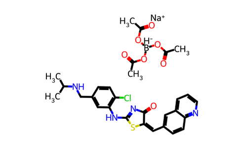 CC(=O)O[BH-](OC(C)=O)OC(C)=O.CC(C)NCc1ccc(Cl)c(NC2=NC(=O)C(=Cc3ccc4ncccc4c3)S2)c1.[Na+]